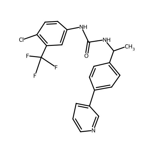 CC(NC(=O)Nc1ccc(Cl)c(C(F)(F)F)c1)c1ccc(-c2cccnc2)cc1